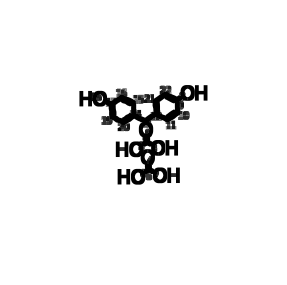 O=C(O)O.O=C(O)O.Oc1ccc(Cc2ccc(O)cc2)cc1